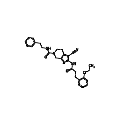 CCOc1ccccc1CCC(=O)Nc1sc2c(c1C#N)CCN(C(=O)NCCc1ccccc1)C2